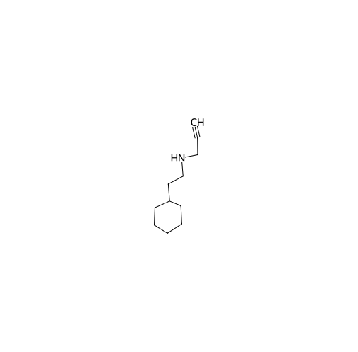 C#CCNCCC1CCCCC1